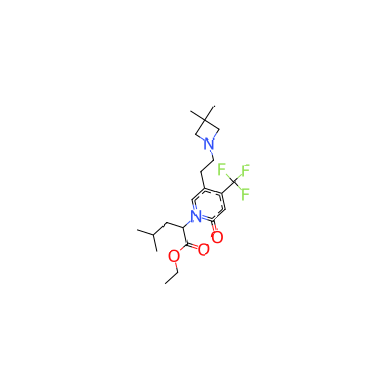 CCOC(=O)C(CC(C)C)n1cc(CCN2CC(C)(C)C2)c(C(F)(F)F)cc1=O